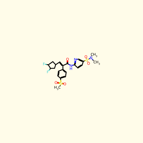 CN(C)S(=O)(=O)c1ccc(NC(=O)/C(=C/C2CC(F)C(F)C2)c2ccc(S(C)(=O)=O)cc2)nc1